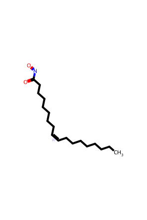 CCCCCCCC/C=C\CCCCCCCC(=O)N=O